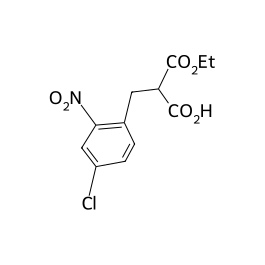 CCOC(=O)C(Cc1ccc(Cl)cc1[N+](=O)[O-])C(=O)O